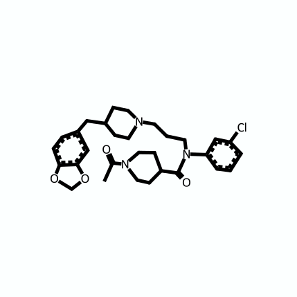 CC(=O)N1CCC(C(=O)N(CCCN2CCC(Cc3ccc4c(c3)OCO4)CC2)c2cccc(Cl)c2)CC1